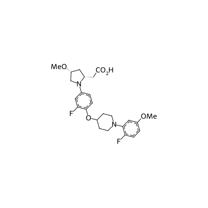 COc1ccc(F)c(N2CCC(Oc3ccc(N4C[C@H](OC)C[C@@H]4CC(=O)O)cc3F)CC2)c1